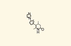 CC1=C(c2ccc(-n3ccnc3)s2)C(C)CC(=O)N1